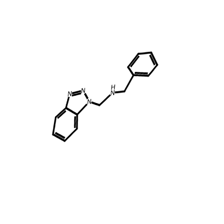 c1ccc(CNCn2nnc3ccccc32)cc1